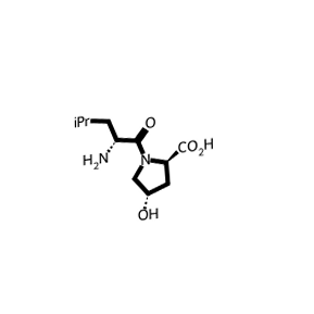 CC(C)C[C@@H](N)C(=O)N1C[C@@H](O)C[C@@H]1C(=O)O